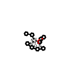 c1ccc(-c2cccc(-c3nc(-c4cccc(-c5ccccc5)c4)nc(-n4c5ccccc5c5ccc6c7ccc8c9ccccc9n(-c9ccc%10ccccc%10c9)c8c7oc6c54)n3)c2)cc1